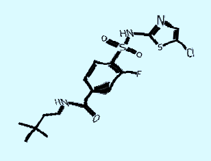 CC(C)(C)CCNC(=O)c1ccc(S(=O)(=O)Nc2ncc(Cl)s2)c(F)c1